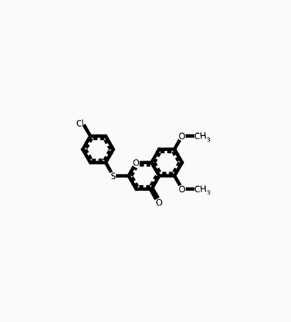 COc1cc(OC)c2c(=O)cc(Sc3ccc(Cl)cc3)oc2c1